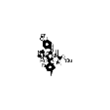 C[C@@H](N(NC(=O)OC(C)(C)C)C(=S)Nc1ccc(OC(F)(F)F)cc1)[C@](O)(Cn1cncn1)c1ccc(F)cc1F